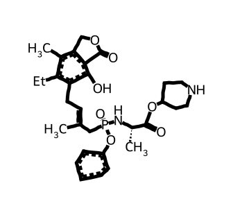 CCc1c(C)c2c(c(O)c1C/C=C(\C)CP(=O)(N[C@@H](C)C(=O)OC1CCNCC1)Oc1ccccc1)C(=O)OC2